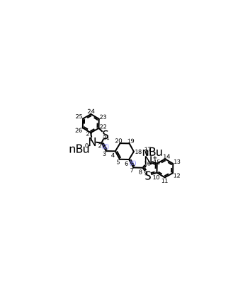 CCCCN1/C(=C/C2=CC(=C/c3sc4ccccc4[n+]3CCCC)/CCC2)Sc2ccccc21